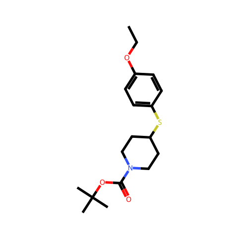 CCOc1ccc(SC2CCN(C(=O)OC(C)(C)C)CC2)cc1